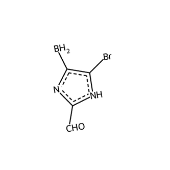 Bc1nc(C=O)[nH]c1Br